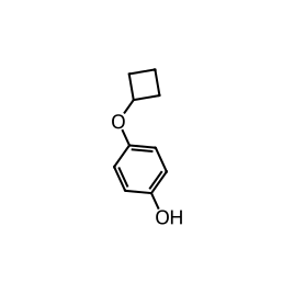 Oc1ccc(OC2CCC2)cc1